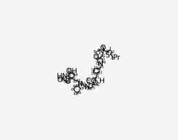 CC(C)c1ccc(C(=O)N2CCOC3(CCN(Cc4cccc(CCOC5CCN(CCN(CCc6ccc(O)c7c6OCC(=O)N7)C6CCCCC6)[C@@H]5C(=O)O)c4)CC3)C2)s1